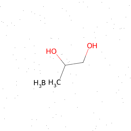 B.CC(O)CO